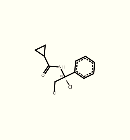 O=C(N[C@](Cl)(CCl)c1ccccc1)C1CC1